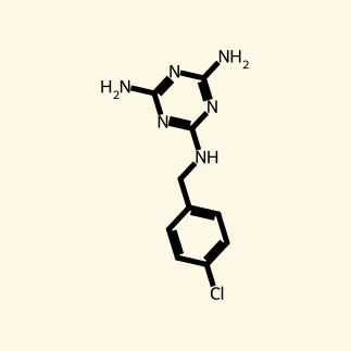 Nc1nc(N)nc(NCc2ccc(Cl)cc2)n1